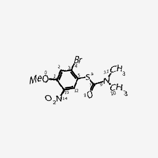 COc1cc(Br)c(SC(=O)N(C)C)cc1[N+](=O)[O-]